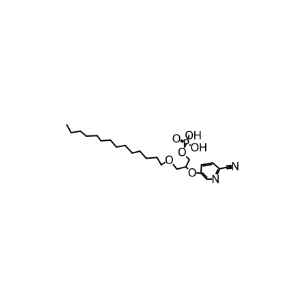 CCCCCCCCCCCCCCOCC(COP(=O)(O)O)Oc1ccc(C#N)nc1